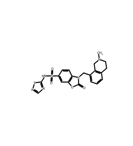 CN1CCc2cccc(Cn3c(=O)oc4cc(S(=O)(=O)Nc5ncns5)ccc43)c2C1